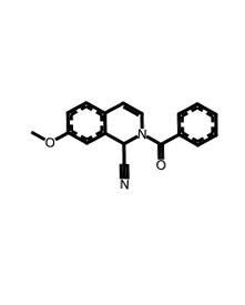 COc1ccc2c(c1)C(C#N)N(C(=O)c1ccccc1)C=C2